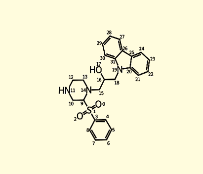 O=S(=O)(c1ccccc1)C1CNCCN1CC(O)Cn1c2ccccc2c2ccccc21